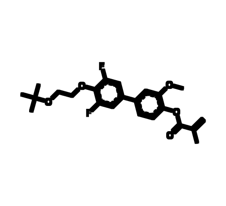 C=C(C)C(=O)Oc1ccc(-c2cc(F)c(OCCOC(C)(C)C)c(F)c2)cc1OC